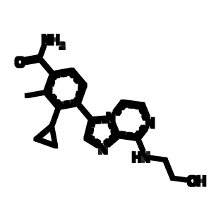 Cc1c(C(N)=O)ccc(-c2cnc3c(NCCO)nccn23)c1C1CC1